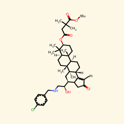 CC(C)C1=C2C(CC1=O)[C@@H]([C@@H](O)CNCc1ccc(Cl)cc1)C[C@]1(C)[C@@H]2CC[C@@H]2[C@@]3(C)CC[C@H](OC(=O)CC(C)(C)C(=O)OC(C)(C)C)C(C)(C)[C@@H]3CC[C@]21C